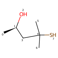 C[C@@H](O)CC(C)(C)S